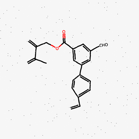 C=Cc1ccc(-c2cc(C=O)cc(C(=O)OCC(=C)C(=C)C)c2)cc1